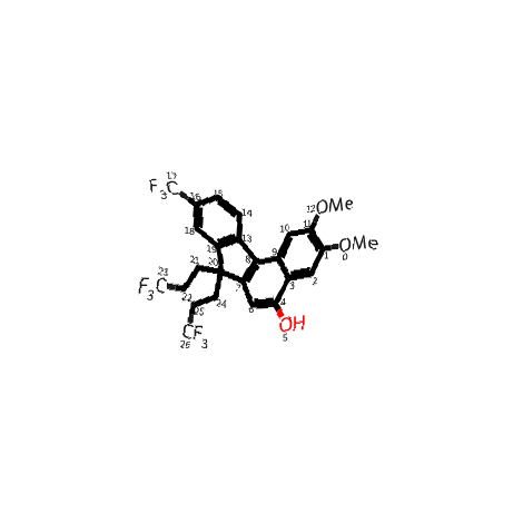 COc1cc2c(O)cc3c(c2cc1OC)-c1ccc(C(F)(F)F)cc1C3(CCC(F)(F)F)CCC(F)(F)F